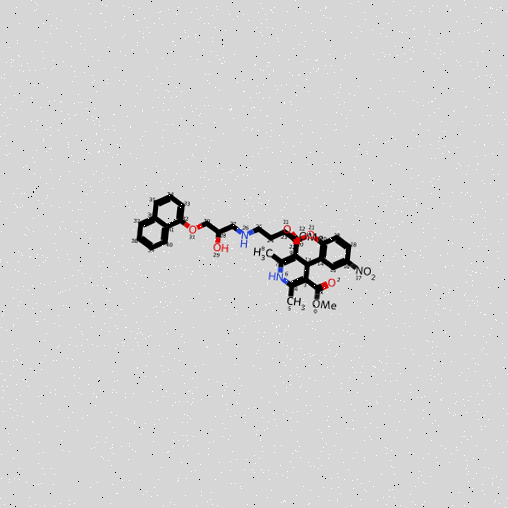 COC(=O)C1=C(C)NC(C)=C(C(=O)OC)C1c1cc([N+](=O)[O-])ccc1OCCCCNCC(O)COc1cccc2ccccc12